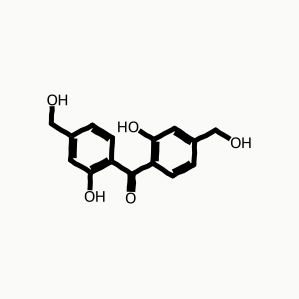 O=C(c1ccc(CO)cc1O)c1ccc(CO)cc1O